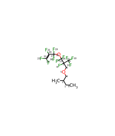 CCC(C)COCC(F)(C(F)(F)F)C(F)(F)OC(F)(F)C(F)=C(F)F